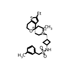 CCc1cc2c(s1)CCO[C@@]21CCN(C[C@H]2C[C@@H](NS(=O)(=O)Cc3cccc(C)c3)C2)[C@@H](C)C1